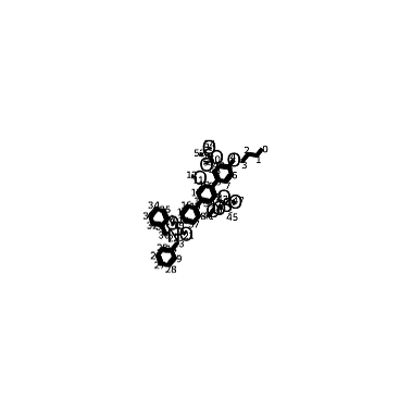 CCCCOc1ccc(-c2c(OC)cc(-c3ccc(S(=O)(=O)N(Cc4ccccc4)Cc4ccccc4)cc3)c(OC)c2OS(C)(=O)=O)cc1OS(C)(=O)=O